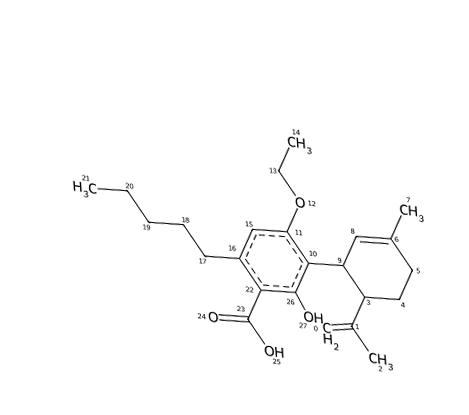 C=C(C)C1CCC(C)=CC1c1c(OCC)cc(CCCCC)c(C(=O)O)c1O